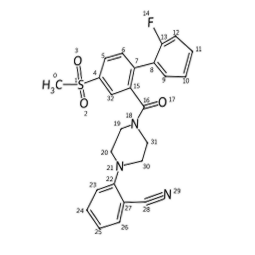 CS(=O)(=O)c1ccc(-c2ccccc2F)c(C(=O)N2CCN(c3ccccc3C#N)CC2)c1